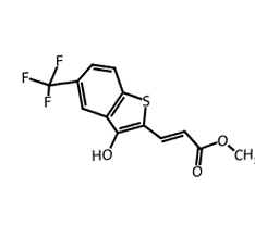 COC(=O)C=Cc1sc2ccc(C(F)(F)F)cc2c1O